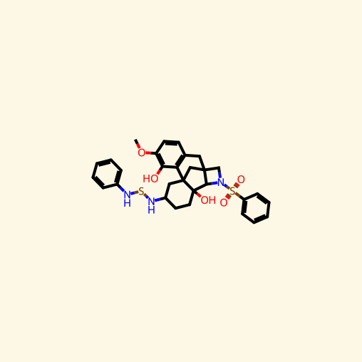 COc1ccc2c(c1O)C13CC(NSNc4ccccc4)CCC1(O)C1N(S(=O)(=O)c4ccccc4)CC1(C2)C3